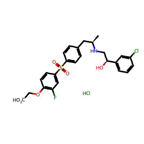 C[C@H](Cc1ccc(S(=O)(=O)c2ccc(OCC(=O)O)c(F)c2)cc1)NC[C@H](O)c1cccc(Cl)c1.Cl